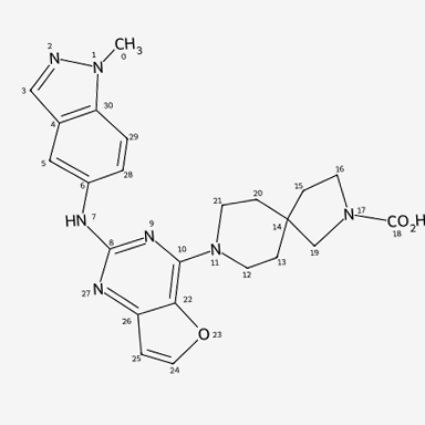 Cn1ncc2cc(Nc3nc(N4CCC5(CCN(C(=O)O)C5)CC4)c4occc4n3)ccc21